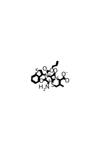 C=CCOC(=O)[N+](C(=O)CN)(c1csc2ccccc12)C1C(=O)N2C(C(=O)[O-])=C(C)CS[C@@H]12